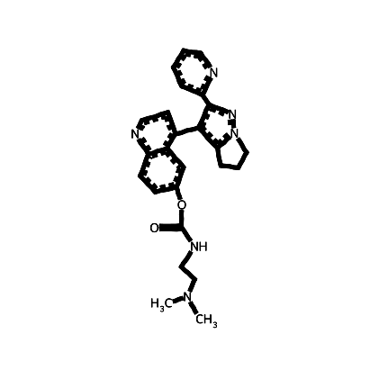 CN(C)CCNC(=O)Oc1ccc2nccc(-c3c(-c4ccccn4)nn4c3CCC4)c2c1